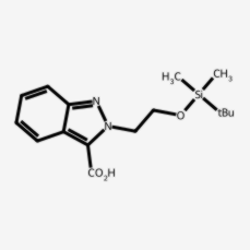 CC(C)(C)[Si](C)(C)OCCn1nc2ccccc2c1C(=O)O